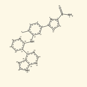 Cc1ccc(-c2nc(C(N)=O)co2)cc1Nc1ncccc1-c1ncnc2[nH]cnc12